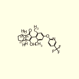 Cc1cc(Oc2ccc(C(F)(F)F)cn2)cc(C)c1C1=C(O)[C@H]2[C@H]3CC[C@H](C3)[C@H]2C1=O